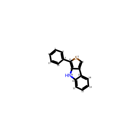 c1ccc(-c2scc3c2[nH]c2ccccc23)cc1